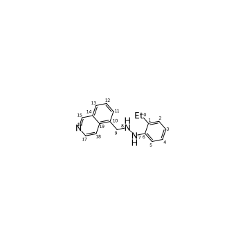 CCc1ccccc1NNCc1cccc2cnccc12